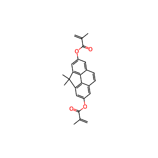 C=C(C)C(=O)Oc1cc2c3c(ccc4cc(OC(=O)C(=C)C)cc(c43)C2(C)C)c1